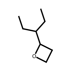 CCC(CC)C1CCO1